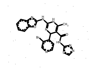 CC1=C(C(=O)Nc2nncs2)C(c2ccncc2Br)N=C(Nc2nc3ccccc3o2)N1